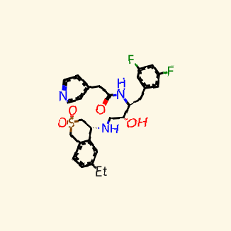 CCc1ccc2c(c1)[C@@H](NC[C@@H](O)[C@H](Cc1cc(F)cc(F)c1)NC(=O)Cc1ccncc1)CS(=O)(=O)C2